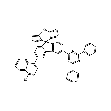 N#Cc1ccc(-c2ccc3c(c2)-c2cc(-c4nc(-c5ccccc5)nc(-c5ccccc5)n4)ccc2C32c3ccccc3Oc3ccccc32)c2ccccc12